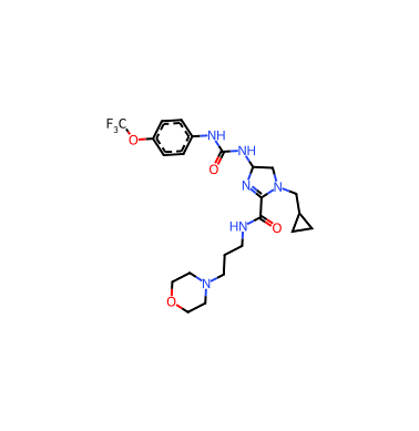 O=C(Nc1ccc(OC(F)(F)F)cc1)NC1CN(CC2CC2)C(C(=O)NCCCN2CCOCC2)=N1